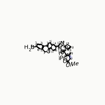 Bc1ccc2c(c1)COc1c-2ccc2cc(-c3cnc([C@@H]4CCCN4C(=O)[C@@H](/C(C)=C\C(=O)OC)C(C)C)[nH]3)ccc12